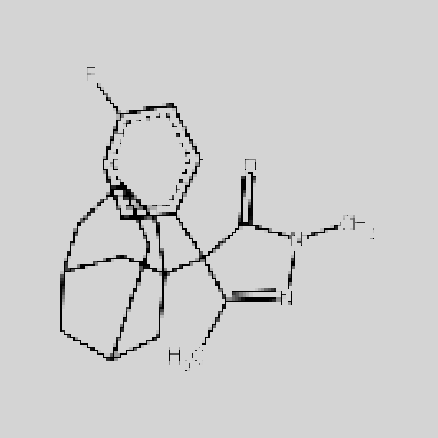 CC1=NN(C)C(=O)C1(c1ccc(F)cc1)C12CC3CC(CC(C3)C1)C2